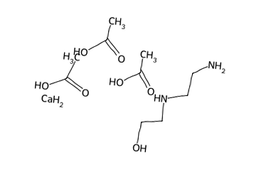 CC(=O)O.CC(=O)O.CC(=O)O.NCCNCCO.[CaH2]